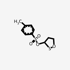 Cc1ccc(S(=O)(=O)OC2CCOS2)cc1